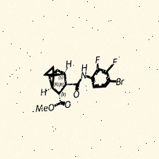 COC(=O)[C@H]1[C@H](C(=O)Nc2ccc(Br)c(F)c2F)[C@@H]2C=C[C@H]1C21CC1